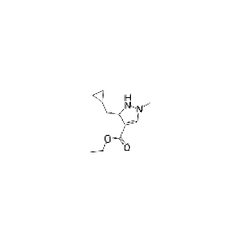 CCOC(=O)C1=CN(C)NC1CC1CC1